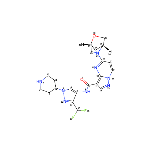 O=C(Nc1cn(C2CCNCC2)nc1C(F)F)c1cnn2ccc(N3C[C@H]4C[C@@H]3CO4)nc12